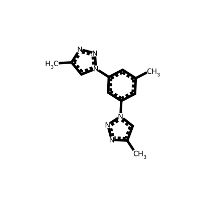 Cc1cc(-n2cc(C)nn2)cc(-n2cc(C)nn2)c1